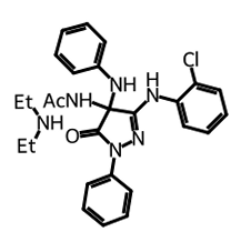 CC(=O)NC1(Nc2ccccc2)C(=O)N(c2ccccc2)N=C1Nc1ccccc1Cl.CCNCC